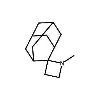 CN1CCC12C1CC3CC(C1)CC2C3